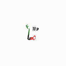 O=CF.[Mo]